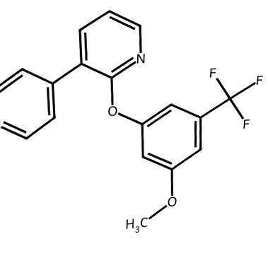 COc1cc(Oc2ncccc2-c2ccncc2)cc(C(F)(F)F)c1